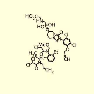 C#CCOc1cc(-n2nc3n(c2=O)CCCC3)c(Cl)cc1Cl.C=CCN(CC=C)C(=O)C(Cl)Cl.CCc1cccc(CC)c1N(COC)C(=O)CCl.O=C(O)CNCP(=O)(O)O